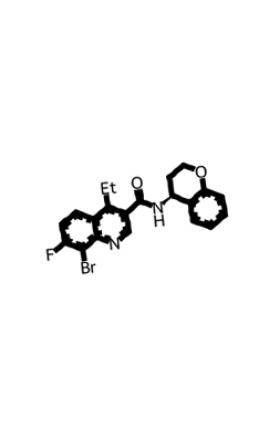 CCc1c(C(=O)N[C@H]2CCOc3ccccc32)cnc2c(Br)c(F)ccc12